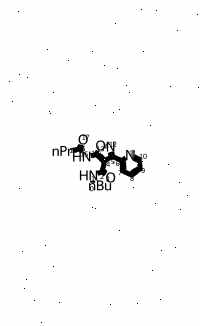 CCCCNC(=O)c1c(-c2ccccn2)noc1NC(=O)CCC